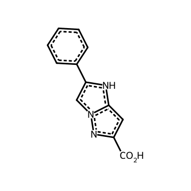 O=C(O)c1cc2[nH]c(-c3ccccc3)cn2n1